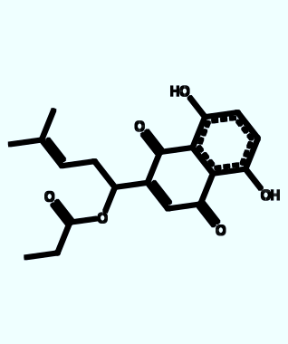 CCC(=O)OC(CC=C(C)C)C1=CC(=O)c2c(O)ccc(O)c2C1=O